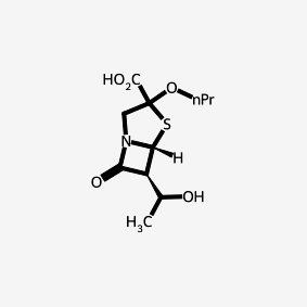 CCCOC1(C(=O)O)CN2C(=O)[C@H](C(C)O)[C@H]2S1